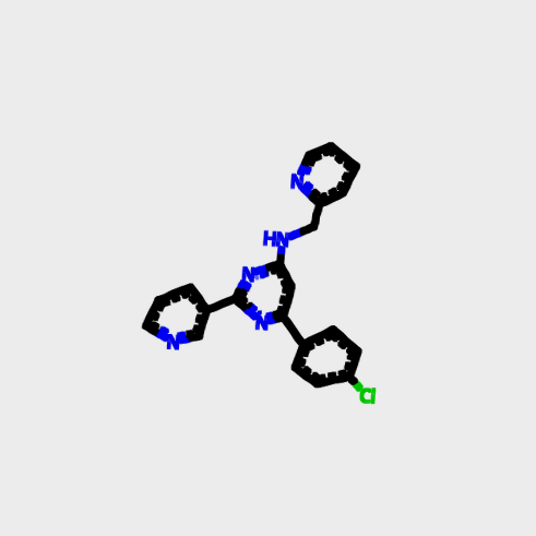 Clc1ccc(-c2cc(NCc3ccccn3)nc(-c3cccnc3)n2)cc1